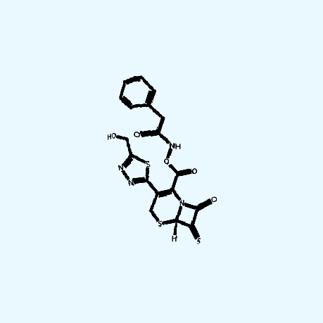 O=C(Cc1ccccc1)NOC(=O)C1=C(c2nnc(CO)s2)CS[C@H]2C(=S)C(=O)N12